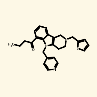 CCCC(=O)c1cccc2c3c(n(Cc4ccncc4)c12)CCN(Cc1cccs1)C3